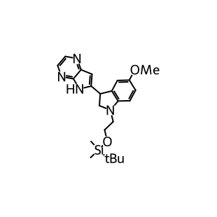 COc1ccc2c(c1)C(c1cc3nccnc3[nH]1)CN2CCO[Si](C)(C)C(C)(C)C